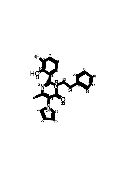 Cc1nc(-c2cccc(F)c2O)n(CCc2ccccc2)c(=O)c1-n1cccc1